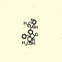 Cc1ncccc1NC(=O)c1ccc2c(c1)C(=O)C[C@@H]1C[C@](C)(O)CC[C@@]21Cc1ccccc1